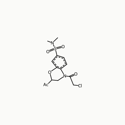 CC(=O)C1CN(C(=O)CCl)c2ccc(S(=O)(=O)N(C)C)cc2O1